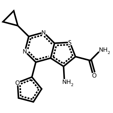 NC(=O)c1sc2nc(C3CC3)nc(-c3ccco3)c2c1N